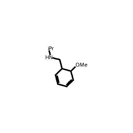 COC1C=CC=CC1CNC(C)C